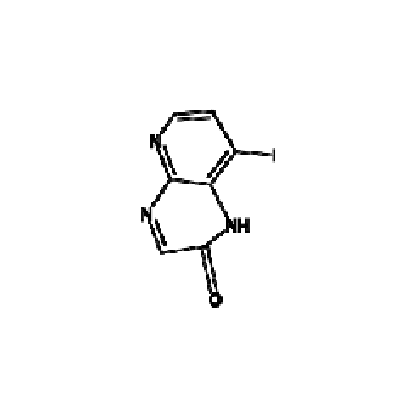 O=c1cnc2nccc(I)c2[nH]1